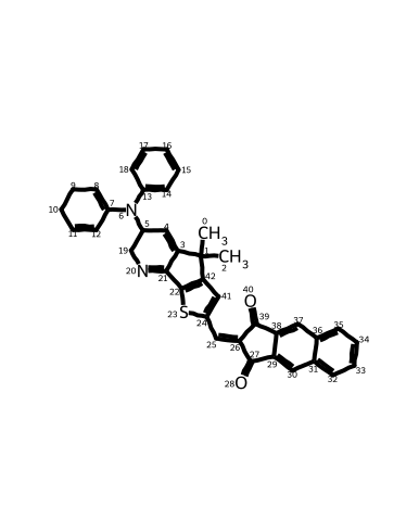 CC1(C)C2=CC(N(C3=CCCC=C3)c3ccccc3)CN=C2c2sc(C=C3C(=O)c4cc5ccccc5cc4C3=O)cc21